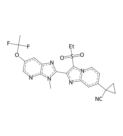 CCS(=O)(=O)c1c(-c2nc3cc(OC(C)(F)F)cnc3n2C)nc2cc(C3(C#N)CC3)ccn12